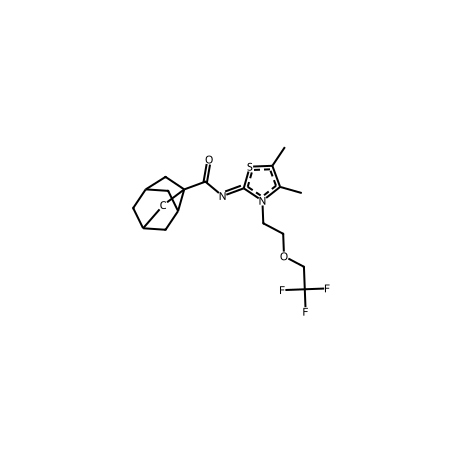 Cc1sc(=NC(=O)C23CC4CC(CC2C4)C3)n(CCOCC(F)(F)F)c1C